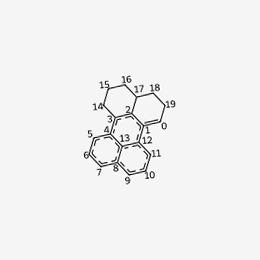 C1=c2c3c(c4cccc5cccc2c54)CCCC3CC1